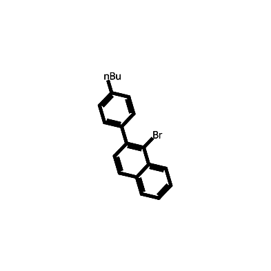 CCCCc1ccc(-c2ccc3ccccc3c2Br)cc1